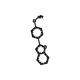 CCCOc1ccc(-c2cc3ccccc3o2)cc1